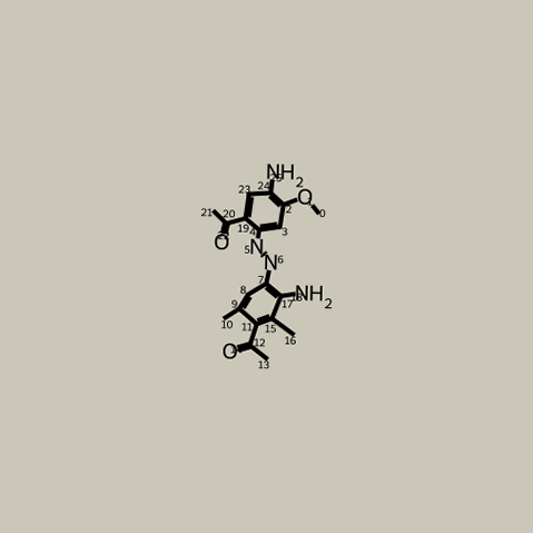 COc1cc(N=Nc2cc(C)c(C(C)=O)c(C)c2N)c(C(C)=O)cc1N